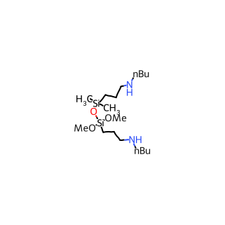 CCCCNCCC[Si](C)(C)O[Si](CCCNCCCC)(OC)OC